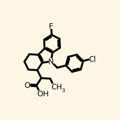 CCC(C(=O)O)C1CCCc2c1n(Cc1ccc(Cl)cc1)c1ccc(F)cc21